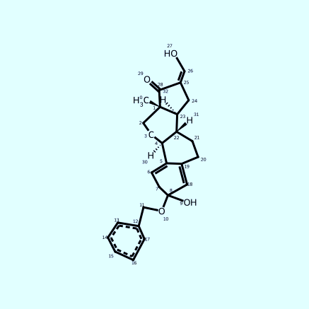 C[C@]12CC[C@@H]3C4=CCC(O)(OCc5ccccc5)C=C4CC[C@H]3[C@@H]1C/C(=C/O)C2=O